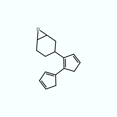 C1=CCC(C2=C(C3CCC4OC4C3)C=CC2)=C1